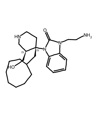 NCCn1c(=O)n([C@@]2(CC3CCCCCCC3)CCNC[C@@H]2CO)c2ccccc21